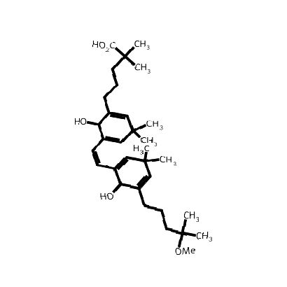 COC(C)(C)CCCC1=CC(C)(C)C=C(/C=C\C2=CC(C)(C)C=C(CCCC(C)(C)C(=O)O)C2O)C1O